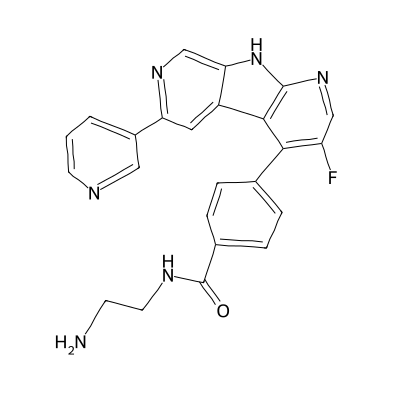 NCCNC(=O)c1ccc(-c2c(F)cnc3[nH]c4cnc(-c5cccnc5)cc4c23)cc1